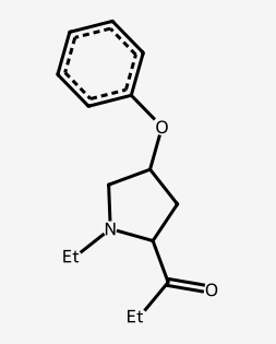 CCC(=O)C1CC(Oc2ccccc2)CN1CC